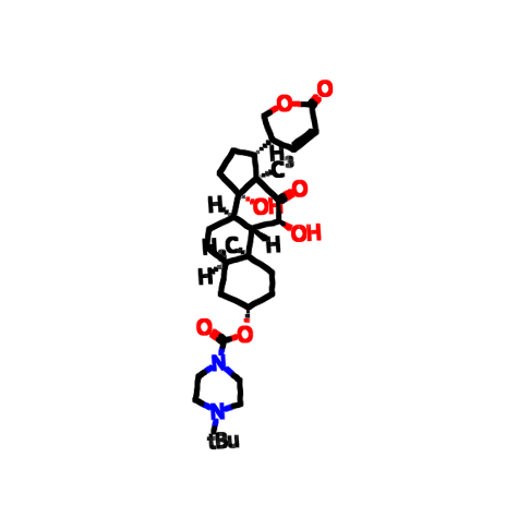 CC(C)(C)N1CCN(C(=O)O[C@H]2CC[C@@]3(C)[C@H](CC[C@@H]4[C@@H]3[C@H](O)C(=O)[C@]3(C)[C@@H](C5C=CC(=O)OC5)CC[C@]43O)C2)CC1